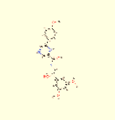 COc1ccc(-c2cncc(C(=O)NC[C@@H](O)c3cc(OC)cc(OC)c3)n2)cc1